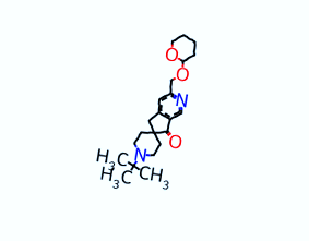 CC(C)(C)N1CCC2(CC1)Cc1cc(COC3CCCCO3)ncc1C2=O